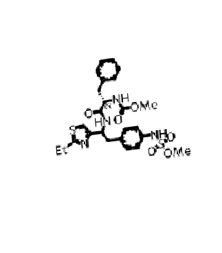 CCc1nc(C(Cc2ccc(NS(=O)(=O)OC)cc2)NC(=O)[C@H](Cc2ccccc2)NC(=O)OC)cs1